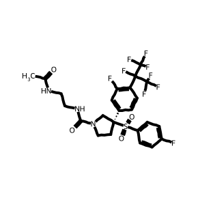 CC(=O)NCCNC(=O)N1CC[C@](c2ccc(C(F)(C(F)(F)F)C(F)(F)F)c(F)c2)(S(=O)(=O)c2ccc(F)cc2)C1